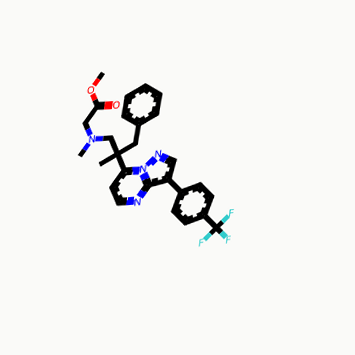 COC(=O)CN(C)CC(C)(Cc1ccccc1)c1ccnc2c(-c3ccc(C(F)(F)F)cc3)cnn12